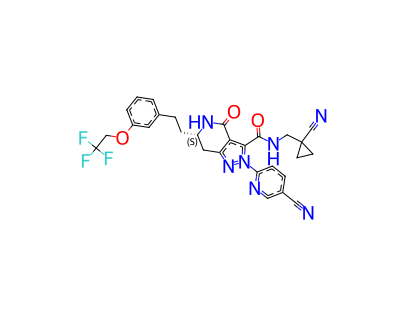 N#Cc1ccc(-n2nc3c(c2C(=O)NCC2(C#N)CC2)C(=O)N[C@@H](CCc2cccc(OCC(F)(F)F)c2)C3)nc1